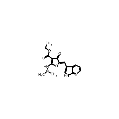 CCOC(=O)C1=C(NN(C)C)OC(=Cc2c[nH]c3ncccc23)C1=O